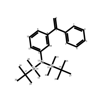 C=C(c1ccccc1)c1cccc(N([Si](C)(C)C(C)(C)C)[Si](C)(C)C(C)(C)C)c1